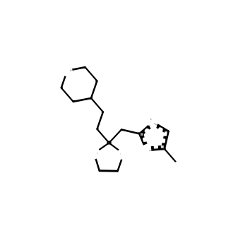 Cc1cnc(CC2(CCC3CCOCC3)OCCO2)o1